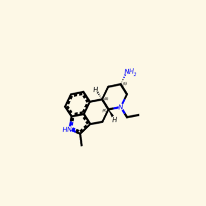 CCN1C[C@@H](N)C[C@@H]2c3cccc4[nH]c(C)c(c34)C[C@H]21